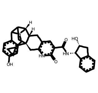 O=C(N[C@H]1c2ccccc2C[C@H]1O)c1cc2c([nH]c1=O)C[C@]13CC4C(c5ccc(O)cc51)N(CC1CC1)[C@H]4[C@@H]3C2